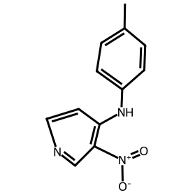 Cc1ccc(Nc2ccncc2[N+](=O)[O-])cc1